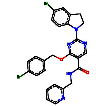 O=C(NCc1ccccn1)c1cnc(N2CCc3cc(Br)ccc32)nc1OCc1ccc(Br)cc1